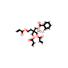 C=CC(=O)OCCC(COC(=O)C=C)(COC(=O)C=C)COC(=O)c1ccccc1C(=O)O